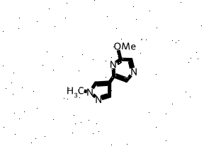 COc1cncc(-c2cnn(C)c2)n1